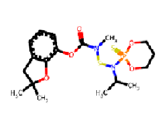 CC(C)N(SN(C)C(=O)Oc1cccc2c1OC(C)(C)C2)P1(=S)OCCCO1